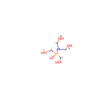 O=P(CO)(CO)N(CO)CO